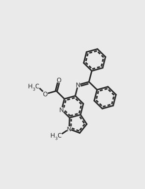 COC(=O)c1nc2c(ccn2C)cc1N=C(c1ccccc1)c1ccccc1